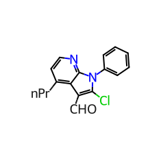 CCCc1ccnc2c1c(C=O)c(Cl)n2-c1ccccc1